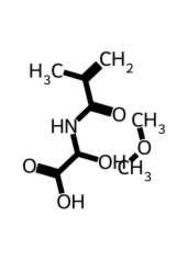 C=C(C)C(=O)NC(O)C(=O)O.COC